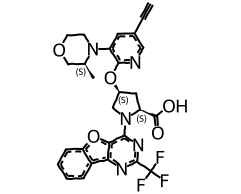 C#Cc1cnc(O[C@H]2C[C@@H](C(=O)O)N(c3nc(C(F)(F)F)nc4c3oc3ccccc34)C2)c(N2CCOC[C@@H]2C)c1